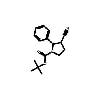 CC(C)(C)OC(=O)N1CCC(C#N)C1c1ccccc1